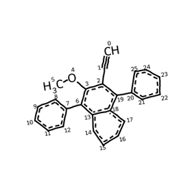 C#Cc1c(OC)c(-c2ccccc2)c2ccccc2c1-c1ccccc1